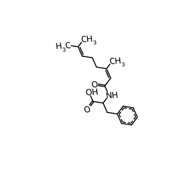 CC(C)=CCCC(C)=CC(=O)NC(Cc1ccccc1)C(=O)O